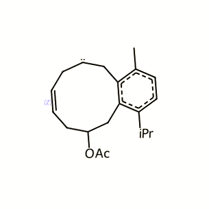 CC(=O)OC1C/C=C\C[C]Cc2c(C)ccc(C(C)C)c2C1